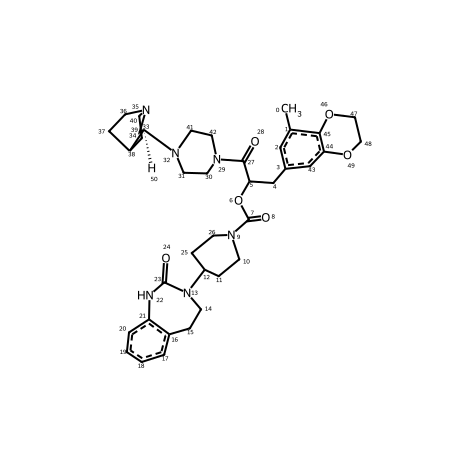 Cc1cc(CC(OC(=O)N2CCC(N3CCc4ccccc4NC3=O)CC2)C(=O)N2CCN([C@H]3CN4CCC3CC4)CC2)cc2c1OCCO2